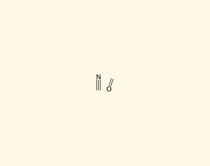 C#N.C=O